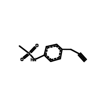 C#CCc1ccc(NS(C)(=O)=O)cc1